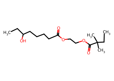 CCC(O)CCCCC(=O)OCCOC(=O)C(C)(C)CC